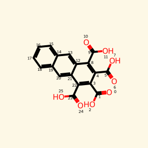 O=C(O)c1c(C(=O)O)c(C(=O)O)c2cc3ccccc3cc2c1C(=O)O